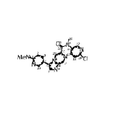 CNc1ccc(-c2cnc3cnc(C(=O)N(C)c4ccc(Cl)nc4)cn23)cn1